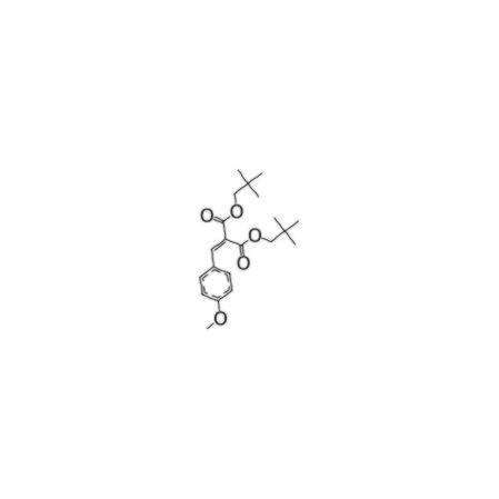 COc1ccc(C=C(C(=O)OCC(C)(C)C)C(=O)OCC(C)(C)C)cc1